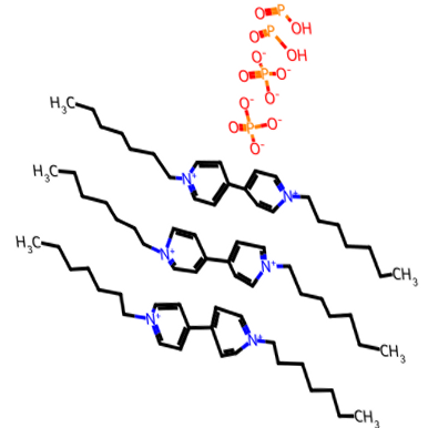 CCCCCCC[n+]1ccc(-c2cc[n+](CCCCCCC)cc2)cc1.CCCCCCC[n+]1ccc(-c2cc[n+](CCCCCCC)cc2)cc1.CCCCCCC[n+]1ccc(-c2cc[n+](CCCCCCC)cc2)cc1.O=P([O-])([O-])[O-].O=P([O-])([O-])[O-].O=PO.O=PO